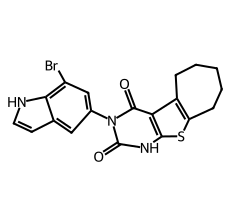 O=c1[nH]c2sc3c(c2c(=O)n1-c1cc(Br)c2[nH]ccc2c1)CCCCC3